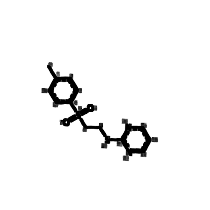 Cc1ccc(S(=O)(=O)CCSc2ncccn2)cc1